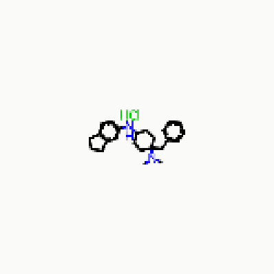 CN(C)C1(Cc2ccccc2)CCC(Nc2ccc3c(c2)CCC3)CC1.Cl